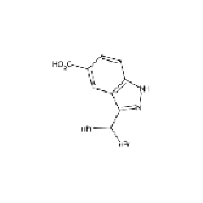 CCCC(CCC)c1n[nH]c2ccc(C(=O)O)cc12